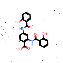 O=C(Nc1ccc(C(=O)O)c(NC(=O)c2ccccc2O)c1)c1ccccc1O